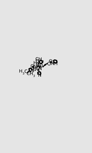 COc1ccccc1Oc1c(NS(=O)(=O)c2ccc(C(C)C)cn2)nc(-c2ccncc2)nc1OCC#CCOC(=O)Nc1ccccc1